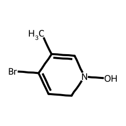 CC1=CN(O)CC=C1Br